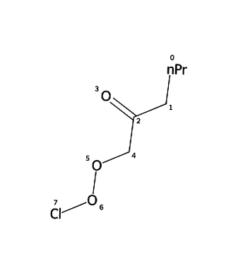 CCCCC(=O)COOCl